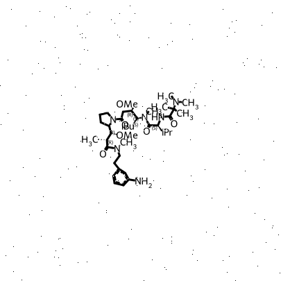 CC[C@H](C)[C@@H]([C@@H](CC(=O)N1CCCC1[C@H](OC)[C@@H](C)C(=O)N(C)CCc1cccc(N)c1)OC)N(C)C(=O)[C@@H](NC(=O)C(C)(C)N(C)C)C(C)C